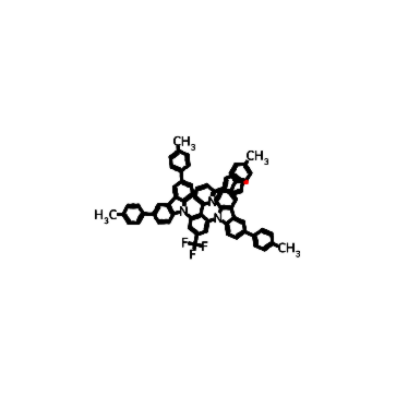 Cc1ccc(-c2ccc3c(c2)c2cc(-c4ccc(C)cc4)ccc2n3-c2cc(C(F)(F)F)cc(-n3c4ccc(-c5ccc(C)cc5)cc4c4cc(-c5ccc(C)cc5)ccc43)c2-c2cccc(-c3ccccc3)n2)cc1